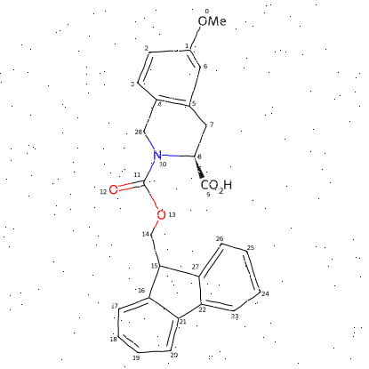 COc1ccc2c(c1)C[C@@H](C(=O)O)N(C(=O)OCC1c3ccccc3-c3ccccc31)C2